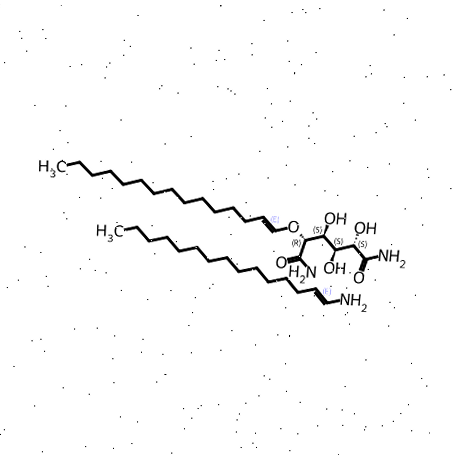 CCCCCCCCCCCCC/C=C/N.CCCCCCCCCCCCC/C=C/O[C@@H](C(N)=O)[C@@H](O)[C@H](O)[C@H](O)C(N)=O